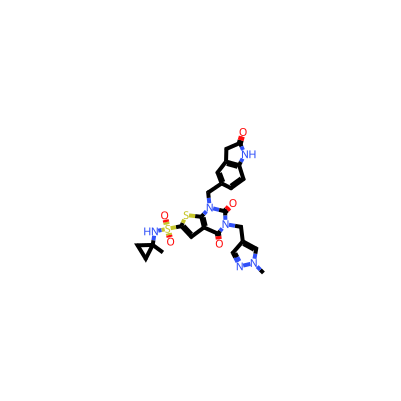 Cn1cc(Cn2c(=O)c3cc(S(=O)(=O)NC4(C)CC4)sc3n(Cc3ccc4c(c3)CC(=O)N4)c2=O)cn1